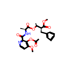 COC(=O)[C@@H](Cc1ccccc1)[C@H](C)OC(=O)[C@H](C)NC(=O)c1nccc(OC)c1OC(C)=O